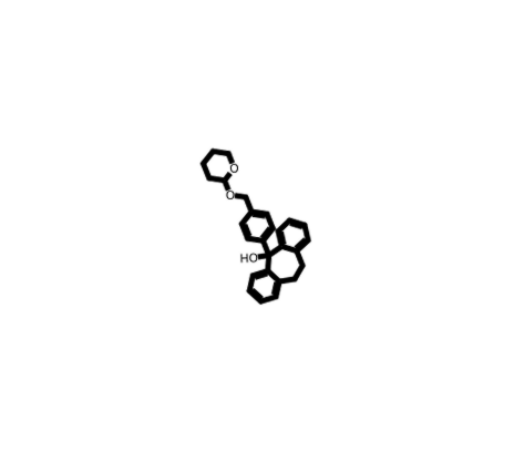 OC1(c2ccc(COC3CCCCO3)cc2)c2ccccc2CCc2ccccc21